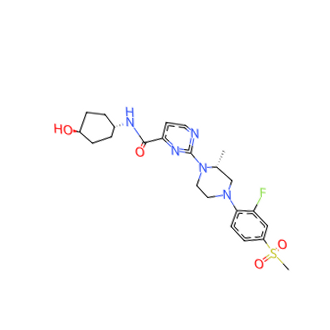 C[C@@H]1CN(c2ccc(S(C)(=O)=O)cc2F)CCN1c1nccc(C(=O)N[C@H]2CC[C@H](O)CC2)n1